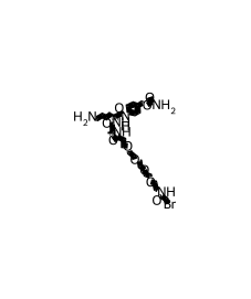 C[C@H](NC(=O)CCOCCOCCOCCOCCNC(=O)CBr)C(=O)N[C@@H](CCCCN)C(=O)Nc1ccc(COC(N)=O)cc1